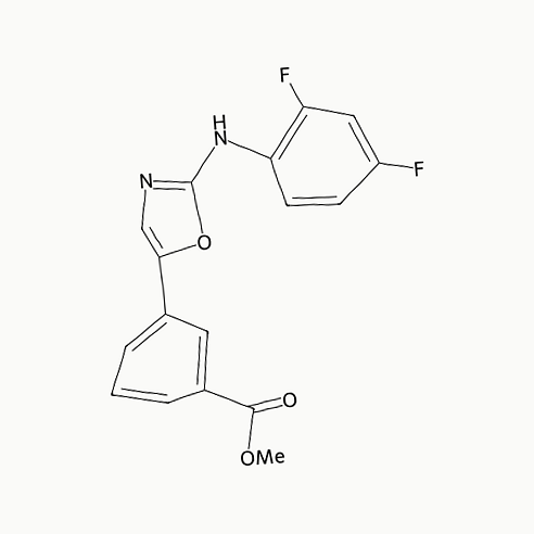 COC(=O)c1cccc(-c2cnc(Nc3ccc(F)cc3F)o2)c1